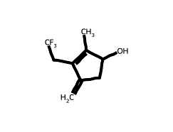 C=C1CC(O)C(C)=C1CC(F)(F)F